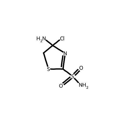 NC1(Cl)CSC(S(N)(=O)=O)=N1